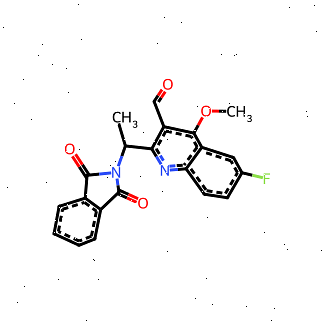 COc1c(C=O)c(C(C)N2C(=O)c3ccccc3C2=O)nc2ccc(F)cc12